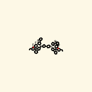 C=Cc1ccc(C2(c3cc(F)c(F)c(F)c3F)c3ccccc3-c3ccc(N(c4ccc(-c5ccc(N(c6ccc7c(c6)C(c6ccc(C=C)cc6)(c6cc(F)c(F)c(F)c6F)c6ccccc6-7)c6ccc7oc8ccccc8c7c6)cc5)cc4)c4ccc5oc6ccccc6c5c4)cc32)cc1